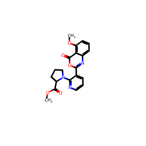 COC(=O)C1CCCN1c1ncccc1-c1nc2cccc(OC)c2c(=O)o1